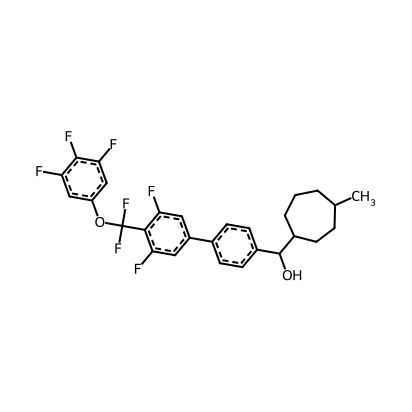 CC1CCCC(C(O)c2ccc(-c3cc(F)c(C(F)(F)Oc4cc(F)c(F)c(F)c4)c(F)c3)cc2)CC1